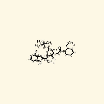 CC[C@H]1CCCCN1C(=O)C[C@H](NC(=O)CCC(C)(C)C)C(=O)N[C@@H](C)c1nc2c(F)cccc2[nH]1